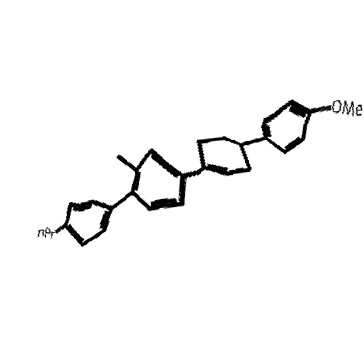 CCCc1ccc(-c2ccc(C3=CCC(c4ccc(OC)cc4)CC3)cc2C)cc1